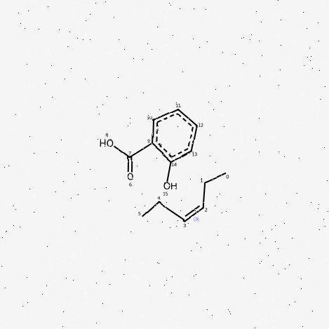 CC/C=C\CC.O=C(O)c1ccccc1O